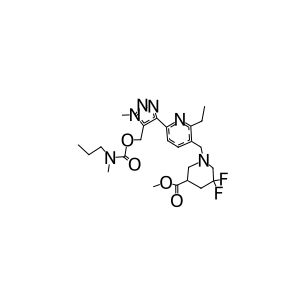 CCCN(C)C(=O)OCc1c(-c2ccc(CN3CC(C(=O)OC)CC(F)(F)C3)c(CC)n2)nnn1C